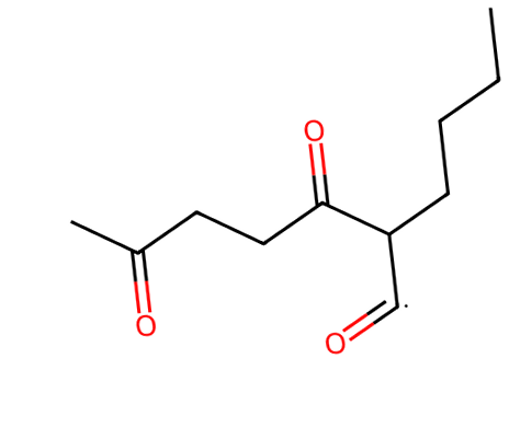 CCCCC([C]=O)C(=O)CCC(C)=O